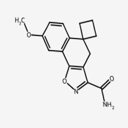 COc1ccc2c(c1)-c1onc(C(N)=O)c1CC21CCC1